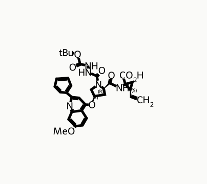 C=C[C@@H]1CC1(NC(=O)[C@H]1C[C@@H](Oc2cc(-c3ccccc3)nc3cc(OC)ccc23)CN1C(=O)NNC(=O)OC(C)(C)C)C(=O)O